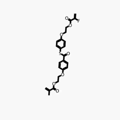 C=C(C)C(=O)OCCOc1ccc(C(=O)Sc2ccc(OCCOC(=O)C(=C)F)cc2)cc1